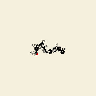 Cc1ncsc1-c1ccc(C(C)NC(=O)[C@@H]2C[C@@H](O)CN2C(=O)C(c2cc(CN3CCC(N4CCN5c6cc(-c7ccccc7O)nnc6NC[C@H]5C4)CC3)no2)C(C)C)cc1